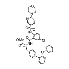 COC(=O)[C@H](Cc1ccc(-c2ccccc2Oc2ccccc2)cc1)NC(=O)c1cc(Cl)ccc1NS(=O)(=O)c1ccc(N2CCOCC2)nc1